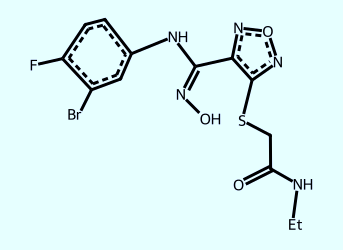 CCNC(=O)CSc1nonc1C(=NO)Nc1ccc(F)c(Br)c1